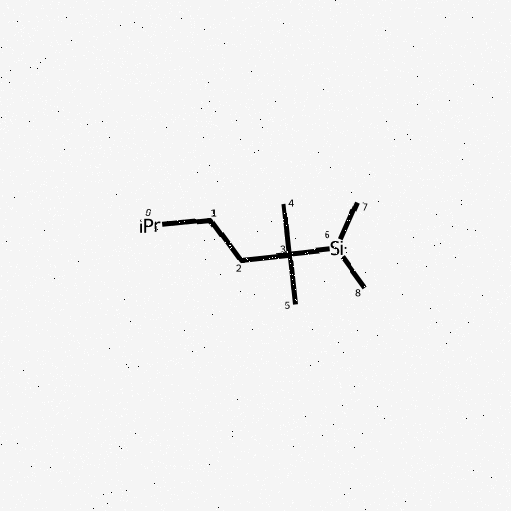 CC(C)CCC(C)(C)[Si](C)C